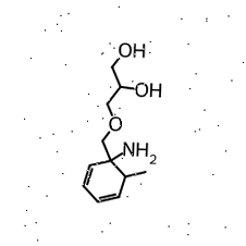 CC1C=CC=CC1(N)COCC(O)CO